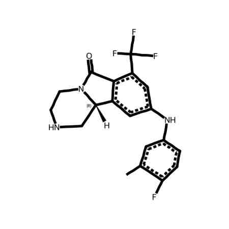 Cc1cc(Nc2cc3c(c(C(F)(F)F)c2)C(=O)N2CCNC[C@@H]32)ccc1F